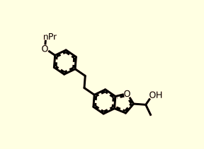 CCCOc1ccc(CCc2ccc3cc(C(C)O)oc3c2)cc1